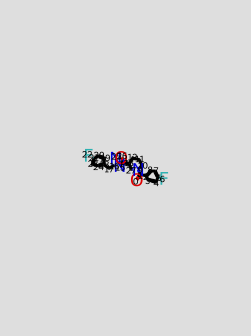 O=C(c1ccc(F)cc1)N1CCCC(c2nc(Cc3ccc(F)cc3)no2)C1